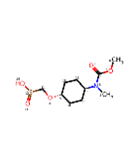 COC(=O)N(C)[C@H]1CC[C@H](OCS(=O)O)CC1